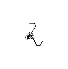 CCCCC/C=C\C/C=C\CCCCCCCCOC1CC(OCCCCCCCC/C=C\C/C=C\CCCCC)CC(OS(C)(=O)=O)C1